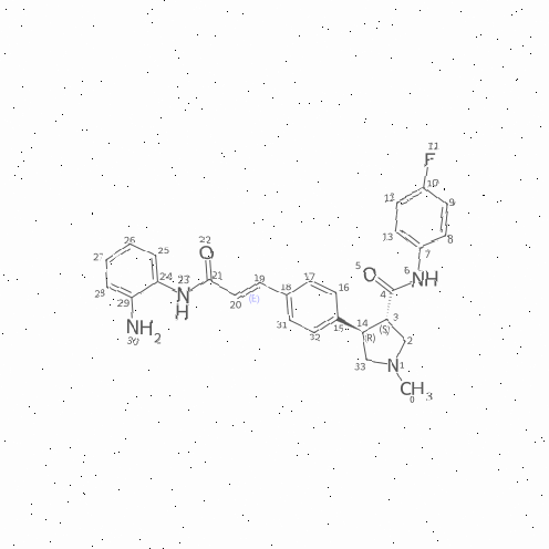 CN1C[C@@H](C(=O)Nc2ccc(F)cc2)[C@H](c2ccc(/C=C/C(=O)Nc3ccccc3N)cc2)C1